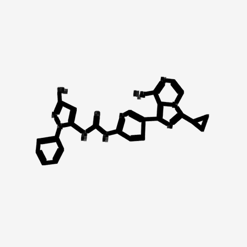 CC(C)(C)c1cc(NC(=O)Nc2ccc(-c3nc(C4CC4)n4ccnc(N)c34)cn2)n(-c2ccccc2)n1